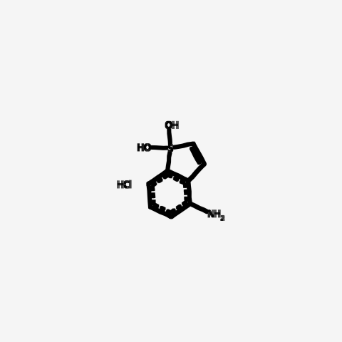 Cl.Nc1cccc2c1C=CS2(O)O